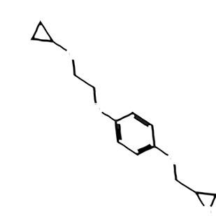 c1cc(OCC2CO2)ccc1OCCOC1CC1